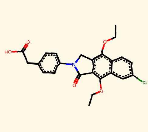 CCOc1c2c(c(OCC)c3cc(Cl)ccc13)C(=O)N(c1ccc(CC(=O)O)cc1)C2